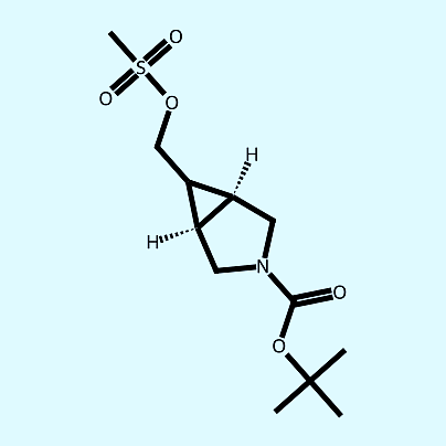 CC(C)(C)OC(=O)N1C[C@@H]2C(COS(C)(=O)=O)[C@@H]2C1